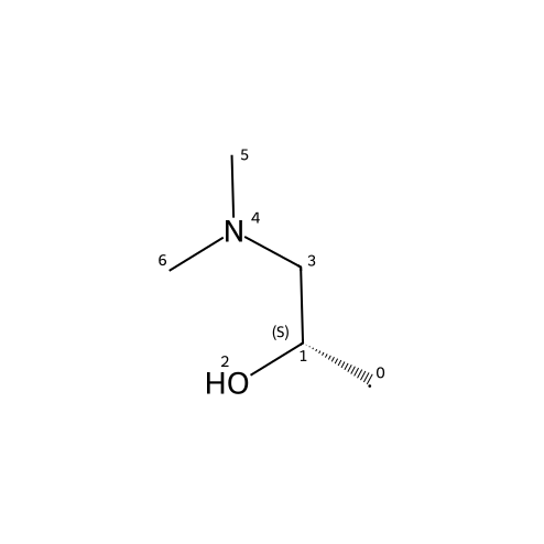 [CH2][C@H](O)CN(C)C